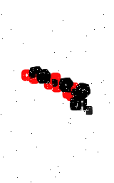 CCC1CC2CCCC(C2)C12OOC1(CCCC(OC(=O)Oc3ccc4ccc(=O)oc4c3)C1)O2